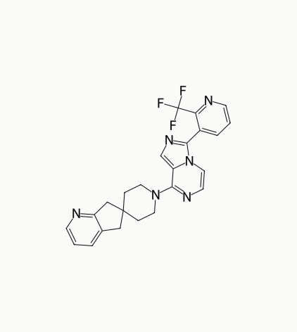 FC(F)(F)c1ncccc1-c1ncc2c(N3CCC4(CC3)Cc3cccnc3C4)nccn12